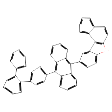 c1ccc(-c2ccccc2-c2ccc(-c3c4ccccc4c(-c4ccc5oc6ccc7ccccc7c6c5c4)c4ccccc34)cc2)cc1